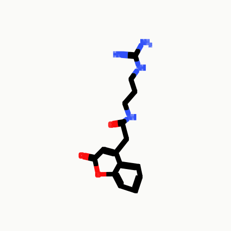 N=C(N)NCCCNC(=O)Cc1cc(=O)oc2ccccc12